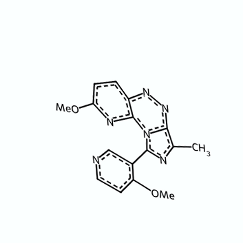 COc1ccc2nnc3c(C)nc(-c4cnccc4OC)n3c2n1